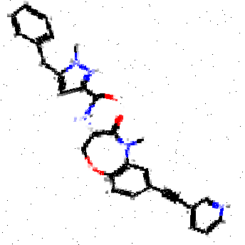 CN1C(=O)[C@@H](NC(=O)c2cc(Cc3ccccc3)n(C)n2)COc2ccc(C#Cc3cccnc3)cc21